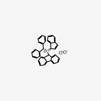 C1=C[CH]([Zr+2](=[C](c2ccccc2)c2ccccc2)[CH]2c3ccccc3-c3ccccc32)c2ccccc21.[Cl-].[Cl-]